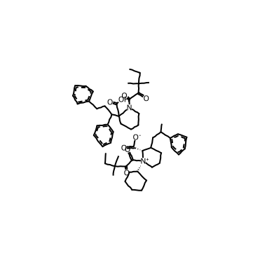 CCC(C)(C)C(=O)C(=O)N1CCCCC1(C(=O)O)C(CCc1ccccc1)c1ccccc1.CCC(C)(C)C(=O)C(=O)[N@+]1(C2CCCCC2)CCCC(CC(C)c2ccccc2)[C@H]1C(=O)[O-]